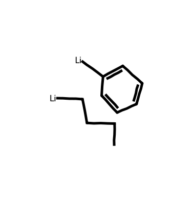 [Li][CH2]CCC.[Li][c]1ccccc1